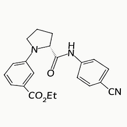 CCOC(=O)c1cccc(N2CCC[C@@H]2C(=O)Nc2ccc(C#N)cc2)c1